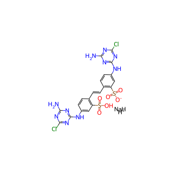 Nc1nc(Cl)nc(Nc2ccc(C=Cc3ccc(Nc4nc(N)nc(Cl)n4)cc3S(=O)(=O)O)c(S(=O)(=O)[O-])c2)n1.[H+].[NaH]